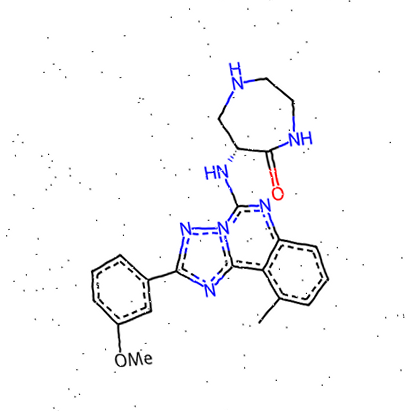 COc1cccc(-c2nc3c4c(C)cccc4nc(N[C@@H]4CNCCNC4=O)n3n2)c1